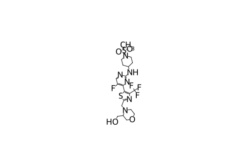 CS(=O)(=O)N1CCC(Nc2ncc(F)c(-c3sc(CN4CCOCC4CO)nc3C(F)(F)F)n2)CC1